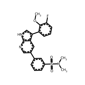 COc1c(F)cccc1-c1c[nH]c2ncc(-c3cccc(S(=O)(=O)N(C)C)c3)cc12